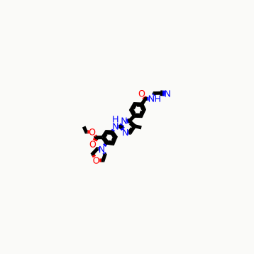 CCOC(=O)c1cc(Nc2ncc(C)c(-c3ccc(C(=O)NCC#N)cc3)n2)ccc1N1CCOCC1